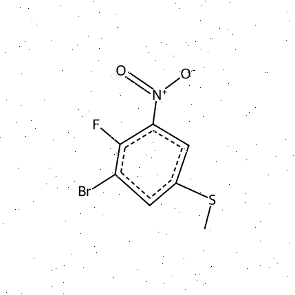 CSc1cc(Br)c(F)c([N+](=O)[O-])c1